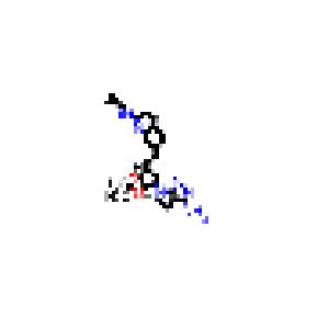 CC1(C)O[C@@H]2C(CCc3ccc4ccc(NCC5CC5)nc4c3)CC(n3ccc4c(N)ncnc43)[C@@H]2O1